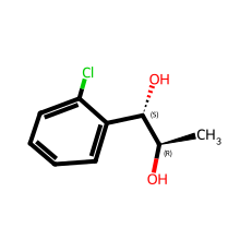 C[C@@H](O)[C@@H](O)c1ccccc1Cl